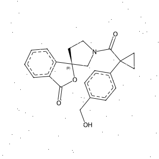 O=C1O[C@]2(CCN(C(=O)C3(c4ccc(CO)cc4)CC3)C2)c2ccccc21